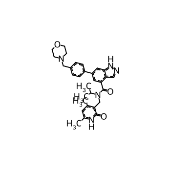 Cc1cc(C)c(CN(C(=O)c2cc(-c3ccc(CN4CCOCC4)cc3)cc3[nH]ncc23)C(C)C)c(=O)[nH]1